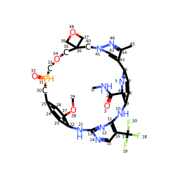 CNC(=O)c1nc2ccc1Nc1nc(ncc1C(F)(F)F)Nc1ccc(cc1OC)C[PH](=O)COCC1(COC1)Cn1cc-2c(C)n1